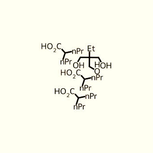 CCC(CO)(CO)CO.CCCC(CCC)C(=O)O.CCCC(CCC)C(=O)O.CCCC(CCC)C(=O)O